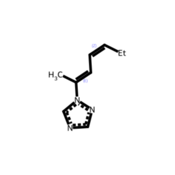 CC/C=C\C=C(/C)n1cncn1